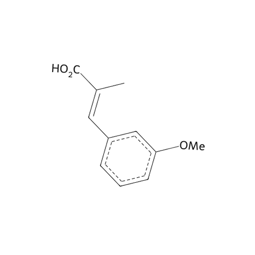 COc1cccc(C=C(C)C(=O)O)c1